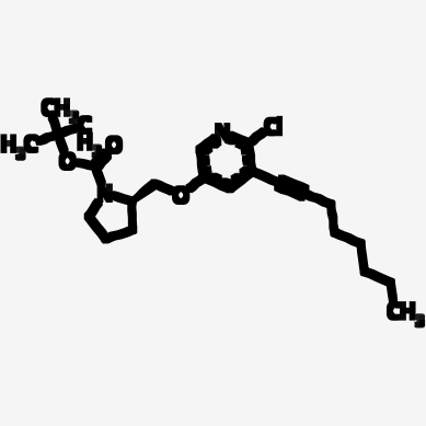 CCCCCCC#Cc1cc(OC[C@H]2CCCN2C(=O)OC(C)(C)C)cnc1Cl